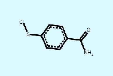 NC(=O)c1ccc(SCl)cc1